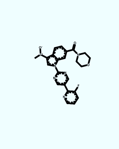 C[S+]([O-])c1cn(-c2ncc(-c3ncccc3F)cn2)c2cc(C(=O)N3CCOCC3)ccc12